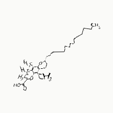 CCCCCCCCCCCCC[C@@H]1CCc2c(C)c(OC(C)C(=O)O)c(C)c(C)c2O1